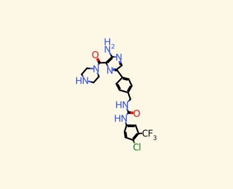 Nc1ncc(-c2ccc(CNC(=O)Nc3ccc(Cl)c(C(F)(F)F)c3)cc2)nc1C(=O)N1CCNCC1